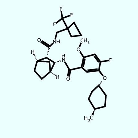 COc1cc(F)c(O[C@H]2CC[C@H](C)CC2)cc1C(=O)N[C@@H]1[C@H]2CC[C@H](C2)[C@@H]1C(=O)NCC1(C(F)(F)F)CCC1